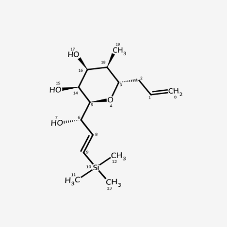 C=CC[C@@H]1O[C@@H]([C@@H](O)/C=C/[Si](C)(C)C)[C@@H](O)[C@@H](O)[C@H]1C